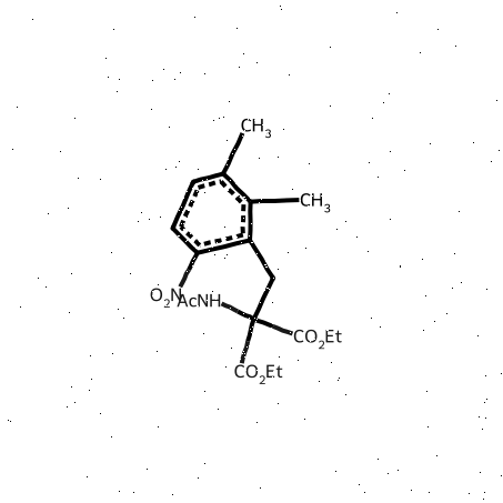 CCOC(=O)C(Cc1c([N+](=O)[O-])ccc(C)c1C)(NC(C)=O)C(=O)OCC